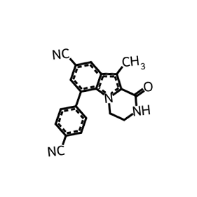 Cc1c2n(c3c(-c4ccc(C#N)cc4)cc(C#N)cc13)CCNC2=O